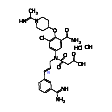 CC(=N)N1CCC(Oc2c(Cl)cc(N(C/C=C/c3cccc(C(=N)N)c3)S(=O)(=O)CC(=O)O)cc2C(N)=O)CC1.Cl.Cl